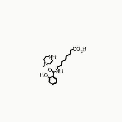 CN1CCNCC1.O=C(O)CCCCCCCNC(=O)c1ccccc1O